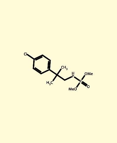 COP(=O)(OC)PCC(C)(C)c1ccc(Cl)cc1